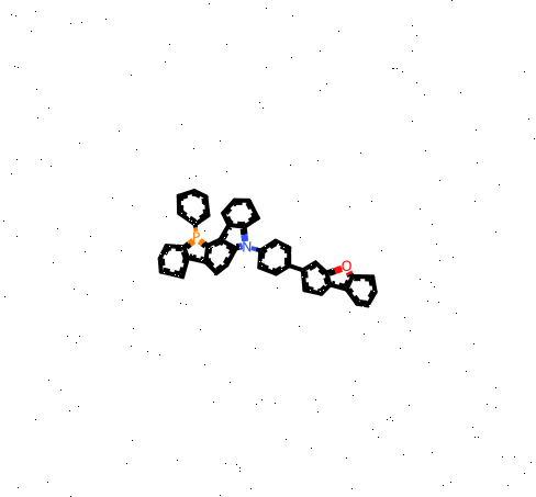 c1ccc(-p2c3ccccc3c3ccc4c(c5ccccc5n4-c4ccc(-c5ccc6c(c5)oc5ccccc56)cc4)c32)cc1